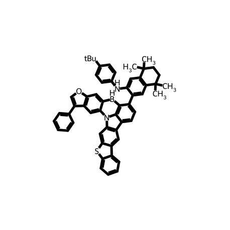 CC(C)(C)c1ccc(Nc2cc3c(cc2-c2ccc4c5cc6c(cc5n5c4c2Bc2cc4occ(-c7ccccc7)c4cc2-5)sc2ccccc26)C(C)(C)CCC3(C)C)cc1